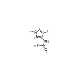 Cc1cn(C)nc1NC(=O)F